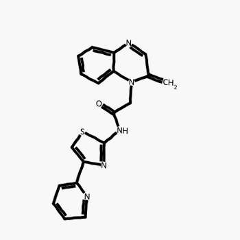 C=C1C=Nc2ccccc2N1CC(=O)Nc1nc(-c2ccccn2)cs1